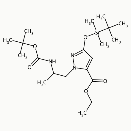 CCOC(=O)c1cc(O[Si](C)(C)C(C)(C)C)nn1CC(C)NC(=O)OC(C)(C)C